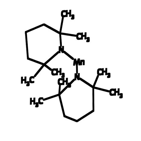 CC1(C)CCCC(C)(C)[N]1[Mn][N]1C(C)(C)CCCC1(C)C